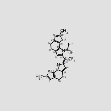 Cc1cc2c(s1)C1=N/C(=C(\c3cc4c(n3B(F)F)-c3sc(C)cc3CC4)C(F)(F)F)C=C1CC2